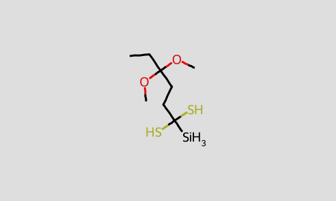 CCC(CCC([SiH3])(S)S)(OC)OC